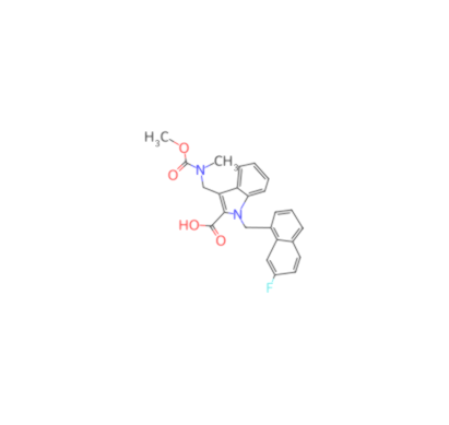 COC(=O)N(C)Cc1c(C(=O)O)n(Cc2cccc3ccc(F)cc23)c2ccccc12